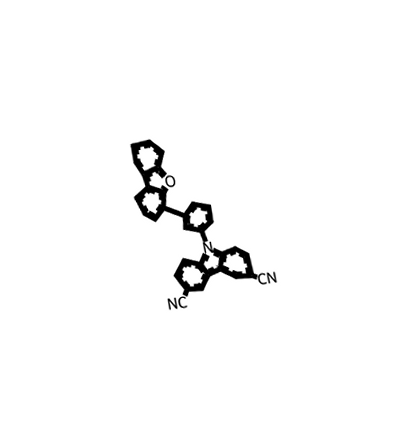 N#Cc1ccc2c(c1)c1cc(C#N)ccc1n2-c1cccc(-c2cccc3c2oc2ccccc23)c1